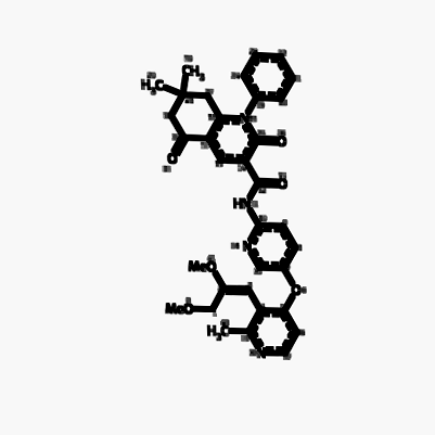 COC/C(=C\c1c(Oc2ccc(NC(=O)c3cc4c(n(-c5ccccc5)c3=O)CC(C)(C)CC4=O)nc2)ccnc1C)OC